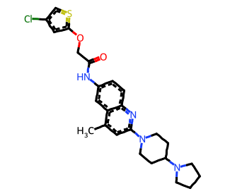 Cc1cc(N2CCC(N3CCCC3)CC2)nc2ccc(NC(=O)COc3cc(Cl)cs3)cc12